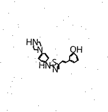 Oc1cccc(C=Cc2cnc(Nc3ccc(N4CCNCC4)cc3)s2)c1